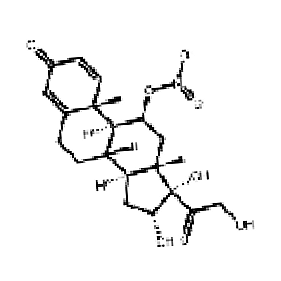 C[C@]12C=CC(=O)C=C1CC[C@H]1[C@@H]3C[C@@H](O)[C@](O)(C(=O)CO)[C@@]3(C)C[C@H](O[N+](=O)[O-])[C@@]12F